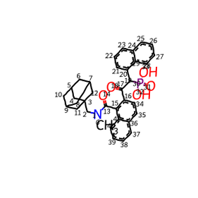 CN(CC12CC3CC(CC(C3)C1)C2)C(=O)c1c(C(=O)C(c2cccc3ccccc23)P(=O)(O)O)ccc2ccccc12